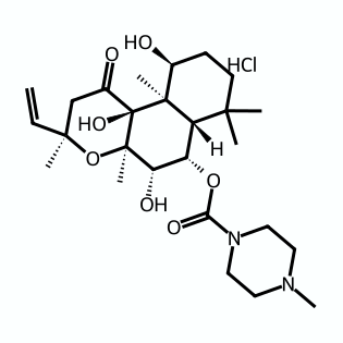 C=C[C@@]1(C)CC(=O)[C@]2(O)[C@@]3(C)[C@@H](O)CCC(C)(C)[C@@H]3[C@H](OC(=O)N3CCN(C)CC3)[C@H](O)[C@@]2(C)O1.Cl